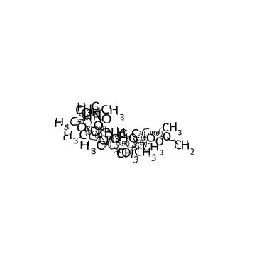 C=CCOC(=O)[C@H](CC)[C@H]1CC[C@H](C)[C@H]([C@@H](C)[C@H](O)[C@H](C)C(=O)[C@H](CC)[C@H]2O[C@]3(C=C[C@@H](OC(=O)NC(C)C)[C@]4(CC[C@@](C)([C@H]5CC[C@](O)(CC)[C@H](C)O5)O4)O3)[C@H](C)C[C@@H]2C)O1